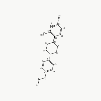 CCCc1ccc([C@H]2CC[C@H](c3ccc(F)nc3F)CC2)cc1